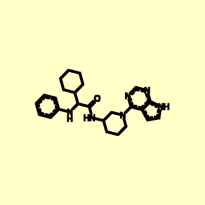 O=C(NC1CCCN(c2ncnc3[nH]ccc23)C1)C(Nc1ccccc1)C1CCCCC1